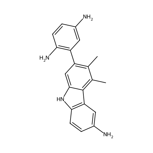 Cc1c(-c2cc(N)ccc2N)cc2[nH]c3ccc(N)cc3c2c1C